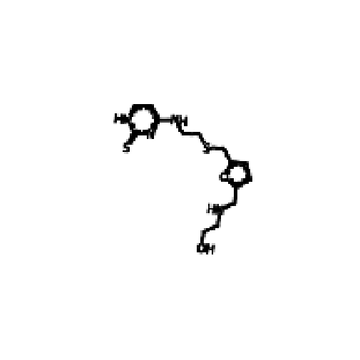 OCCNCc1ccc(CSCCNc2cc[nH]c(=S)n2)o1